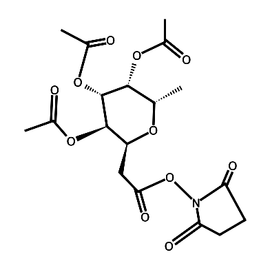 CC(=O)O[C@@H]1[C@H](OC(C)=O)[C@H](C)O[C@@H](CC(=O)ON2C(=O)CCC2=O)[C@H]1OC(C)=O